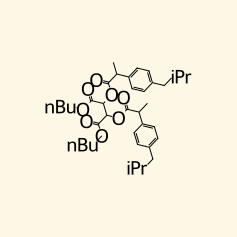 CCCCOC(=O)C(OC(=O)C(C)c1ccc(CC(C)C)cc1)C(OC(=O)C(C)c1ccc(CC(C)C)cc1)C(=O)OCCCC